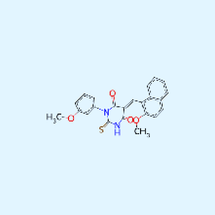 COc1cccc(N2C(=O)/C(=C/c3c(OC)ccc4ccccc34)C(=O)NC2=S)c1